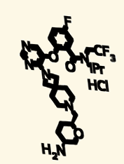 CC(C)N(CC(F)(F)F)C(=O)c1cc(F)ccc1Oc1cncnc1N1CC2(CCN(C[C@@H]3CC[C@@H](N)CO3)CC2)C1.Cl